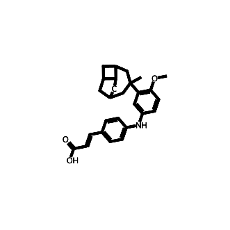 COc1ccc(Nc2ccc(/C=C/C(=O)O)cc2)cc1C1(C)CC2CC3CC(C1)C3C2